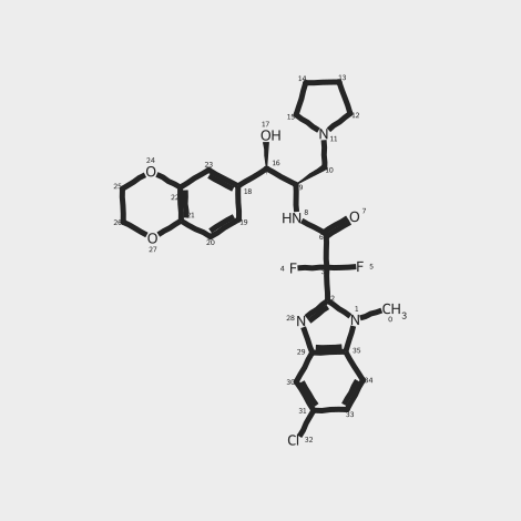 Cn1c(C(F)(F)C(=O)N[C@H](CN2CCCC2)[C@H](O)c2ccc3c(c2)OCCO3)nc2cc(Cl)ccc21